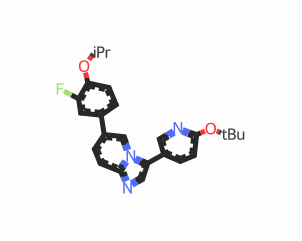 CC(C)Oc1ccc(-c2ccc3ncc(-c4ccc(OC(C)(C)C)nc4)n3c2)cc1F